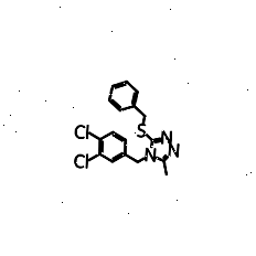 Cc1nnc(SCc2ccccc2)n1Cc1ccc(Cl)c(Cl)c1